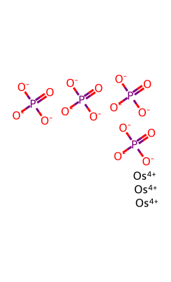 O=P([O-])([O-])[O-].O=P([O-])([O-])[O-].O=P([O-])([O-])[O-].O=P([O-])([O-])[O-].[Os+4].[Os+4].[Os+4]